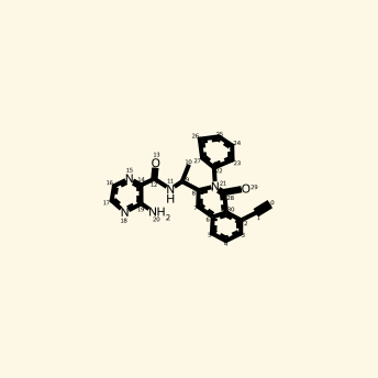 C#Cc1cccc2cc(C(C)NC(=O)c3nccnc3N)n(-c3ccccc3)c(=O)c12